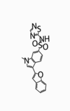 Cn1cc(-c2cc3ccccc3o2)c2ccc(S(=O)(=O)Nc3ncns3)cc21